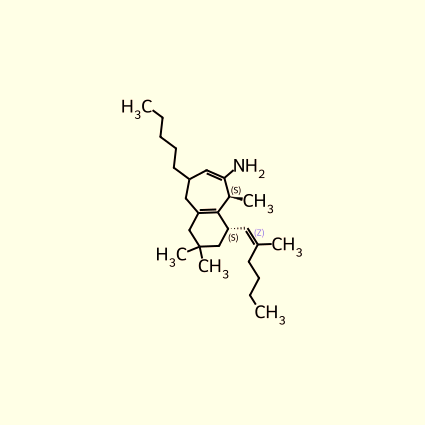 CCCCCC1C=C(N)[C@@H](C)C2=C(C1)CC(C)(C)C[C@H]2/C=C(/C)CCCC